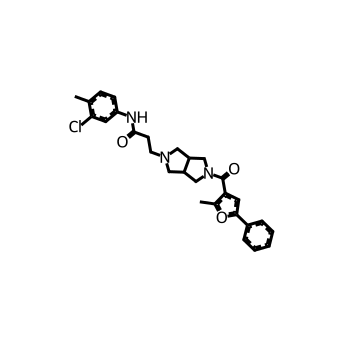 Cc1ccc(NC(=O)CCN2CC3CN(C(=O)c4cc(-c5ccccc5)oc4C)CC3C2)cc1Cl